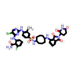 Cc1cc(S(=O)(=O)NC2CCCC(Nc3cccc4c3C(=O)N(C3CCC(=O)NC3=O)C4=O)CCC2)ccc1Nc1ncc(Br)c(Nc2cccc(F)c2C(N)=O)n1